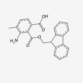 Cc1ccc(C(=O)O)c(C(=O)OCC2c3ccccc3-c3ccccc32)c1N